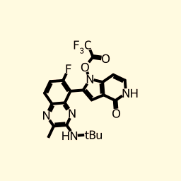 Cc1nc2ccc(F)c(-c3cc4c(=O)[nH]ccc4n3OC(=O)C(F)(F)F)c2nc1NC(C)(C)C